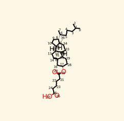 CC(C)CCCC(C)[C@H]1CC[C@H]2[C@@H]3CC=C4C[C@@H](OC(=O)CCCCC(=O)O)CC[C@]4(C)[C@H]3CC[C@]12C